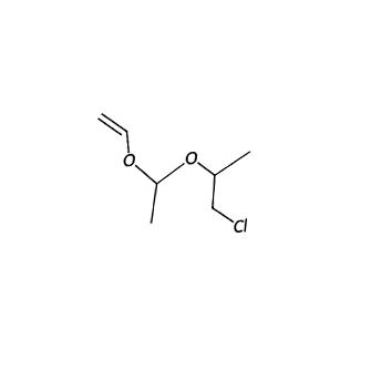 C=COC(C)OC(C)CCl